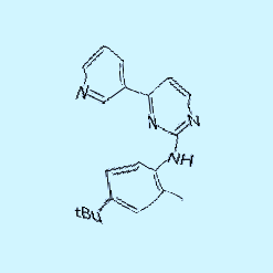 Cc1cc(C(C)(C)C)ccc1Nc1nccc(-c2cccnc2)n1